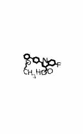 CCCCOc1ccccc1-c1ccc(-c2cc(C(=O)O)c3cc(F)ccc3n2)cc1